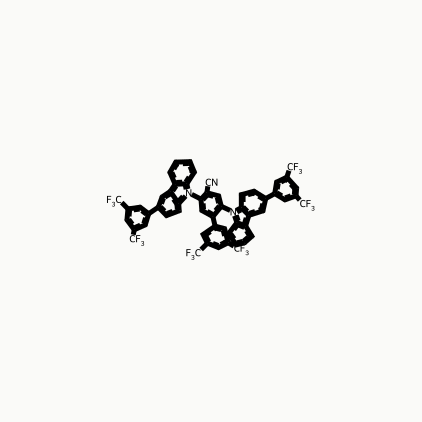 N#Cc1cc(-n2c3ccccc3c3cc(-c4cc(C(F)(F)F)cc(C(F)(F)F)c4)ccc32)c(-c2cc(C(F)(F)F)cc(C(F)(F)F)c2)cc1-n1c2ccccc2c2cc(-c3cc(C(F)(F)F)cc(C(F)(F)F)c3)ccc21